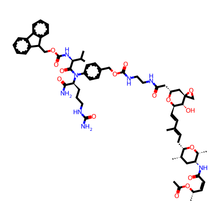 CC(=O)O[C@@H](C)/C=C\C(=O)N[C@@H]1C[C@H](C)[C@H](C/C=C(C)/C=C/[C@H]2O[C@H](CC(=O)NCCNC(=O)OCc3ccc(N(C(=O)[C@@H](NC(=O)OCC4c5ccccc5-c5ccccc54)C(C)C)[C@@H](CCCNC(N)=O)C(N)=O)cc3)C[C@@]3(CO3)[C@@H]2O)O[C@@H]1C